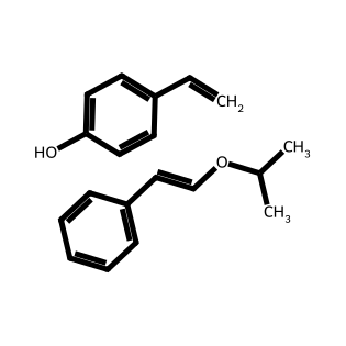 C=Cc1ccc(O)cc1.CC(C)OC=Cc1ccccc1